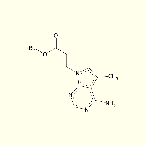 Cc1cn(CCC(=O)OC(C)(C)C)c2ncnc(N)c12